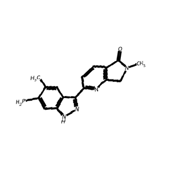 Cc1cc2c(-c3ccc4c(n3)CN(C)C4=O)n[nH]c2cc1P